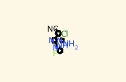 N#Cc1cc(Cl)cc(-c2cncc(-c3nc4c(F)cccc4[nH]3)c2N2CC[C@H](N)C2)c1